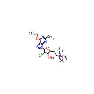 C=P(C)(C)CCC1OC(n2cnc3c(OCC)nc(C)nc32)[C@H](Cl)[C@@H]1O